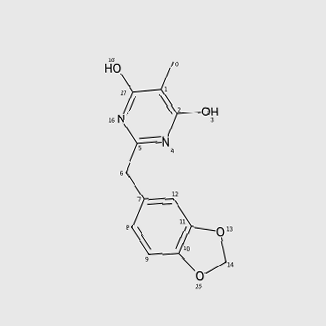 Cc1c(O)nc(Cc2ccc3c(c2)OCO3)nc1O